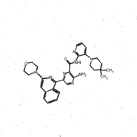 CC1(C)CCN(c2cccnc2NC(=O)c2nc(-c3nc(N4CCOCC4)cc4ccccc34)cnc2N)CC1